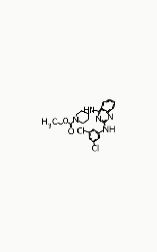 CCOC(=O)N1CCC(Nc2nc(Nc3cc(Cl)cc(Cl)c3)nc3ccccc23)CC1